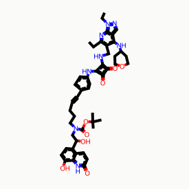 CCc1nc2c(cnn2CC)c(NC2CCOCC2)c1CNc1c(Nc2ccc(C#CCCCN(CC(O)c3ccc(O)c4[nH]c(=O)ccc34)C(=O)OC(C)(C)C)cc2)c(=O)c1=O